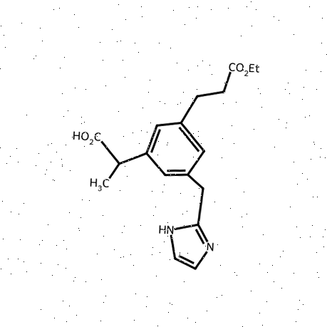 CCOC(=O)CCc1cc(Cc2ncc[nH]2)cc(C(C)C(=O)O)c1